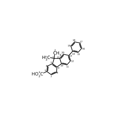 CC1(C)c2cc(C(=O)O)ccc2-c2ccc(-c3ccccc3)cc21